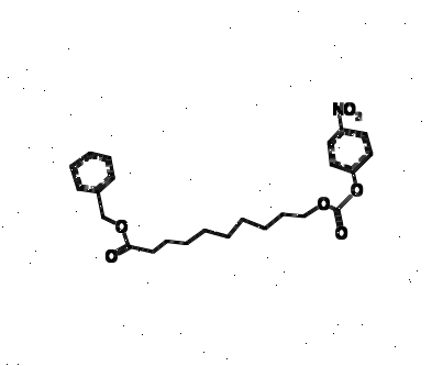 O=C(CCCCCCCCCOC(=O)Oc1ccc([N+](=O)[O-])cc1)OCc1ccccc1